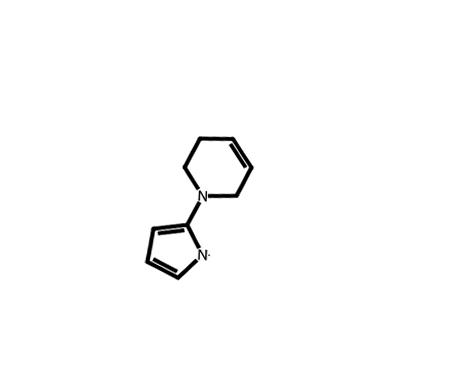 C1=C[N]C(N2CC=CCC2)=C1